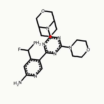 Nc1cc(C(F)P)c(-c2nc(N3CCOCC3)nc(N3C4COCC3COC4)n2)cn1